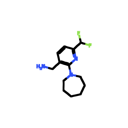 NCc1ccc(C(F)F)nc1N1CCCCCC1